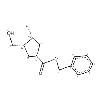 O=C(OCc1ccccc1)N1C[C@H](CO)[C@H](F)C1